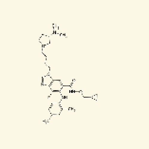 Cc1ccc(Nc2c(C(=O)NOCC3CC3)cc3c(ncn3CCCCN3CCC(N(C)C)C3)c2F)c(C)c1